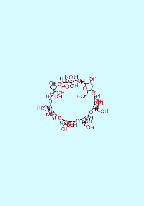 OCC1CO[C@@H]2O[C@@H]3C(CO)O[C@H](O[C@@H]4C(CO)CO[C@@H](O[C@H]5CC(O)[C@@H](OC5CO)O[C@@H]5C(O)O[C@@H](O[C@@H]6C(CO)O[C@H](O[C@@H]7C(CO)CO[C@H](O[C@H]1C(O)C2O)C(O)[C@H]7O)C(O)C6O)C(O)C5O)C(O)[C@H]4O)C3O